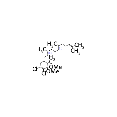 COC1(OC)C(Cl)=C(Cl)CC(C/C=C(\C)CC/C=C(\C)CCC=C(C)C)C1C